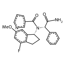 COc1cc(F)c2c(c1)[C@H](N(C(=O)c1cccnc1)[C@H](C(N)=O)c1ccccc1)CC2